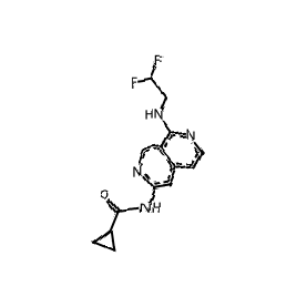 O=C(Nc1cc2ccnc(NCC(F)F)c2cn1)C1CC1